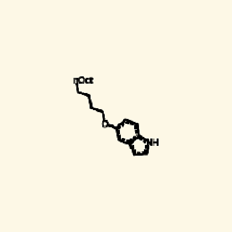 CCCCCCCCCCCCOc1ccc2[nH]ccc2c1